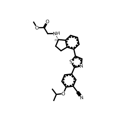 COC(=O)CN[C@H]1CCc2c(-c3cnc(-c4ccc(OC(C)C)c(C#N)c4)s3)cccc21